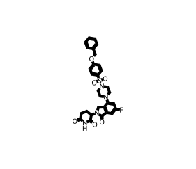 O=C1CCC(N2Cc3c(cc(F)cc3N3CCN(S(=O)(=O)c4ccc(OCc5ccccc5)cc4)CC3)C2=O)C(=O)N1